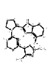 CC1=NN(C)CC1C1=NC(N2CCCC2C2=NC3=C(C)CCCC3N2)=NCC1